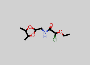 CCOC(Cl)C(=O)NCC1OC(C)C(C)O1